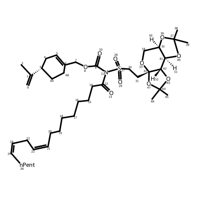 C=C(C)[C@@H]1CC=C(COC(=O)N(C(=O)CCCCCCC/C=C\C/C=C\CCCCC)S(=O)(=O)CC[C@@]23OC[C@H]4OC(C)(C)O[C@H]4[C@@H]2OC(C)(C)O3)CC1